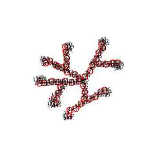 C1CCC(OCCOCCOCC(COCCOCCOC2CCCCO2)OCCOCCOCC(COCCOCCOC(COCCOCCOC2CCCCO2)COCCOCCOC2CCCCO2)(COCCOCCOC(COCCOCCOC2CCCCO2)COCCOCCOC2CCCCO2)COCCOCCOC(COCCOCCOC2CCCCO2)COCCOCCOC2CCCCO2)OC1